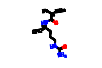 CN[C@H](C(=O)N[C@H](C=O)CCCNC(N)=O)C(C)C